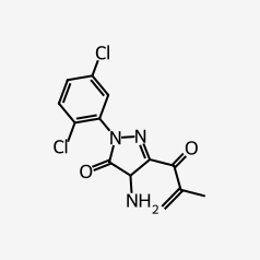 C=C(C)C(=O)C1=NN(c2cc(Cl)ccc2Cl)C(=O)C1N